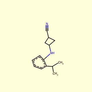 CC(C)c1ccccc1NC1CC(C#N)C1